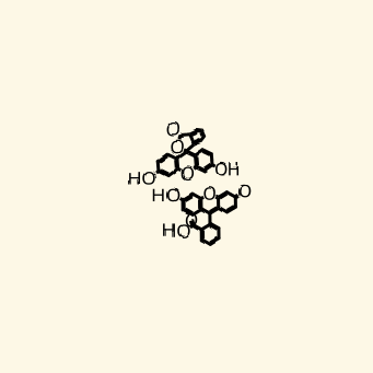 O=C(O)c1ccccc1-c1c2ccc(=O)cc-2oc2cc(O)ccc12.O=C1OC2(c3ccc(O)cc3Oc3cc(O)ccc32)c2ccccc21